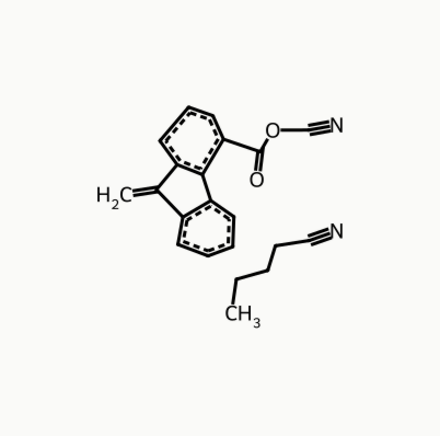 C=C1c2ccccc2-c2c1cccc2C(=O)OC#N.CCCCC#N